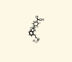 COCCc1cccc2oc(C3CCN(C(=O)O)CC3)nc12